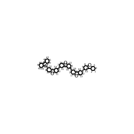 c1ccc2c(c1)oc1ccc(-c3ccc4oc5ccc(-c6ccc7oc8ccc(-c9ccc%10oc%11ccc(-n%12c%13ccccc%13c%13ccccc%13%12)cc%11c%10c9)cc8c7c6)cc5c4c3)cc12